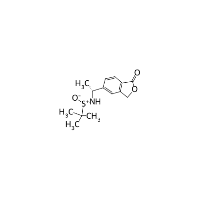 C[C@@H](N[S+]([O-])C(C)(C)C)c1ccc2c(c1)COC2=O